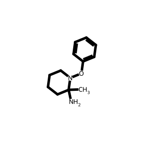 CC1(N)CCCCN1Oc1ccccc1